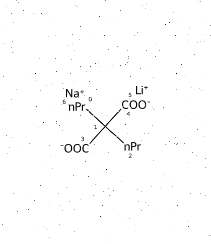 CCCC(CCC)(C(=O)[O-])C(=O)[O-].[Li+].[Na+]